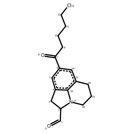 O=CC1Cc2cc(C(=O)CCCCCl)cc3c2N1CCC3